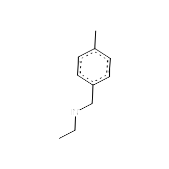 CCNCc1ccc(C)cc1